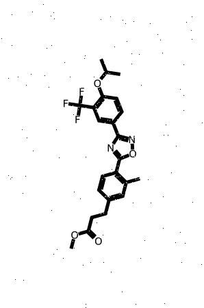 COC(=O)CCc1ccc(-c2nc(-c3ccc(OC(C)C)c(C(F)(F)F)c3)no2)c(C)c1